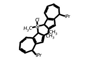 CC1=CC2=C(C=CC=CC2C(C)C)C1[Si](C)(Cl)C1C(C)=CC2=C1C=CC=CC2C(C)C